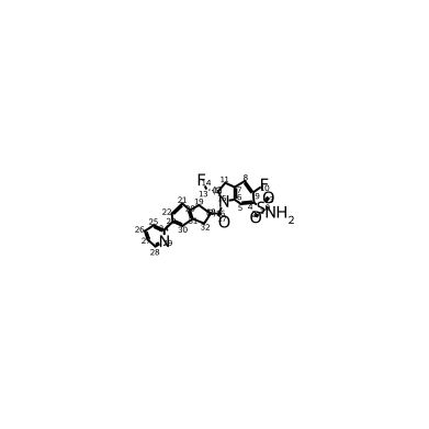 NS(=O)(=O)c1cc2c(cc1F)C[C@@H](CF)N2C(=O)[C@@H]1Cc2ccc(-c3ccccn3)cc2C1